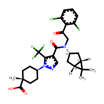 CC1(C)[C@@H]2C[C@H](N(CC(=O)c3c(F)cccc3Cl)C(=O)c3cnn([C@H]4CC[C@](C)(C(=O)O)CC4)c3C(F)(F)F)C[C@@H]21